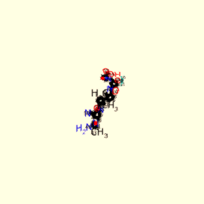 Cc1c(-c2nc3cc(CN4CCC[C@H]4C(=O)O)c(OC(F)F)cc3o2)cccc1-c1cccc(-c2nc3cc(CN4CC(C)C(N)C4)cc(C#N)c3o2)c1C